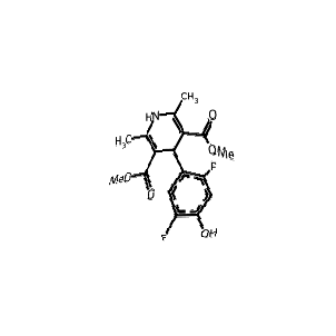 COC(=O)C1=C(C)NC(C)=C(C(=O)OC)C1c1cc(F)c(O)cc1F